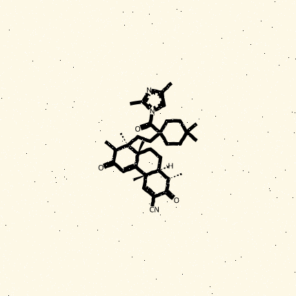 Cc1cn(C(=O)C2(CC[C@]3(C)C(C)C(=O)C=C4[C@@]5(C)C=C(C#N)C(=O)[C@@H](C)[C@@H]5CC[C@]43C)CCC(C)(C)CC2)c(C)n1